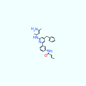 C/C=C/C(=O)Nc1cccc(-c2cc(Cc3ccccc3)cc(NC(C)/C=C(/C)N)n2)c1